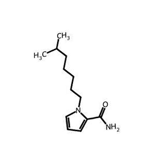 CC(C)CCCCCn1cccc1C(N)=O